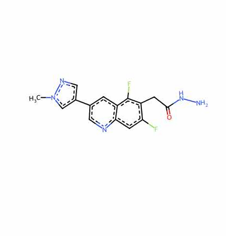 Cn1cc(-c2cnc3cc(F)c(CC(=O)NN)c(F)c3c2)cn1